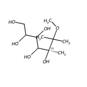 COC(C)(C)[C@@](C)(O)C(O)C(O)C(O)CO